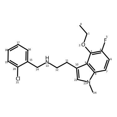 CCOc1c(F)ccc2c1c(CCNCc1ccccc1Cl)cn2C